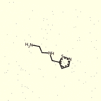 NCCNCc1ccns1